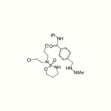 CNNCc1ccc(C(=O)NC(C)C)cc1.O=P1(N(CCCl)CCCl)NCCCO1